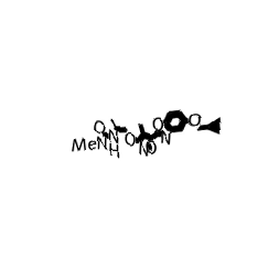 CNC(=O)N[C@@H](C)COc1noc(-c2nc3cc(OCC4CC4)ccc3o2)c1C